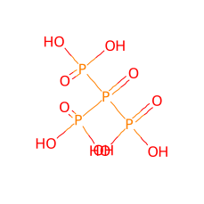 O=P(O)(O)P(=O)(P(=O)(O)O)P(=O)(O)O